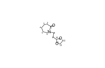 O=C1CCCCCN1CCC1OCCO1